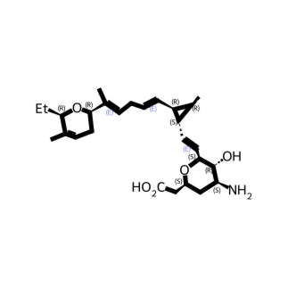 CC[C@H]1O[C@@H](/C(C)=C/C/C=C/[C@H]2[C@@H](C)[C@@H]2/C=C/[C@@H]2O[C@H](CC(=O)O)C[C@H](N)[C@H]2O)CC=C1C